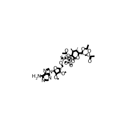 COC1[C@@H](OC)[C@@H](COP(O)(=S)OP(=O)(O)O[C@@H]2OC([C@@H](COC(C)=O)OC(C)=O)[C@@H](C)[C@H](C)C2OC(C)=O)O[C@H]1n1cnc2c(N)ncnc21